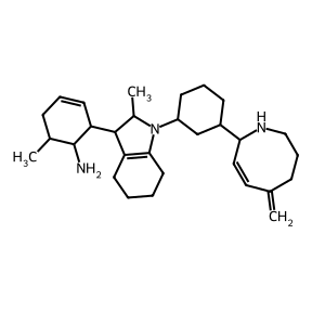 C=C1/C=C\C(C2CCCC(N3C4=C(CCCC4)C(C4C=CCC(C)C4N)C3C)C2)NCCC1